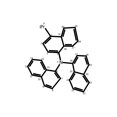 CC(C)c1ccc(N(c2cccc3ccccc23)c2cccc3ccccc23)c2ccccc12